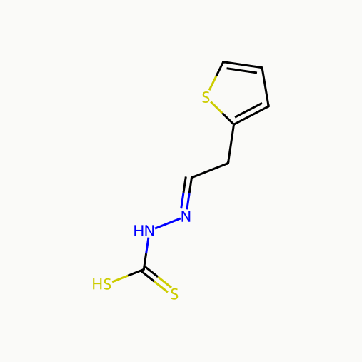 S=C(S)NN=CCc1cccs1